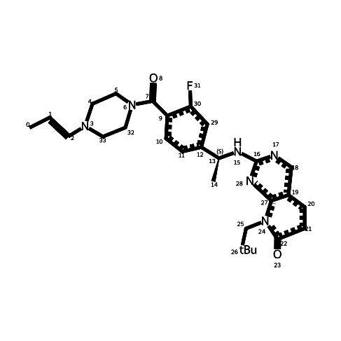 CC=CN1CCN(C(=O)c2ccc([C@H](C)Nc3ncc4ccc(=O)n(CC(C)(C)C)c4n3)cc2F)CC1